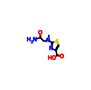 CN(CC(N)=O)c1nc(C(=O)O)cs1